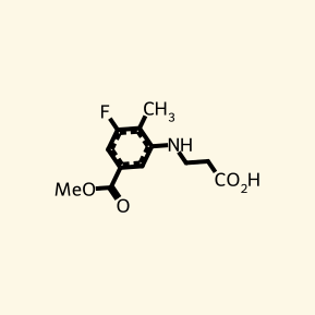 COC(=O)c1cc(F)c(C)c(NCCC(=O)O)c1